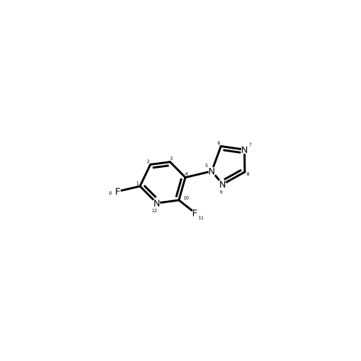 Fc1ccc(-n2cncn2)c(F)n1